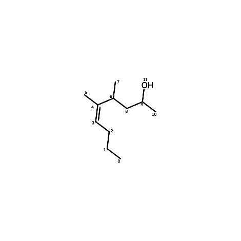 CCCC=C(C)C(C)CC(C)O